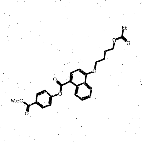 CCC(=O)OCCCCOc1ccc(C(=O)Oc2ccc(C(=O)OC)cc2)c2ccccc12